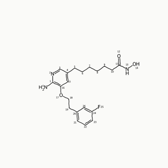 Nc1ncc(CCCCCCC(=O)NO)cc1OCCc1cccc(F)c1